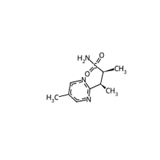 Cc1cnc([C@H](C)[C@H](C)S(N)(=O)=O)nc1